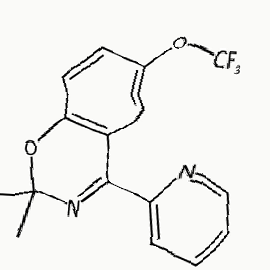 CC1(C)N=C(c2ccccn2)c2cc(OC(F)(F)F)ccc2O1